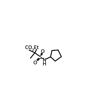 CCOC(=O)C(C)(C)S(=O)(=O)NC1CCCC1